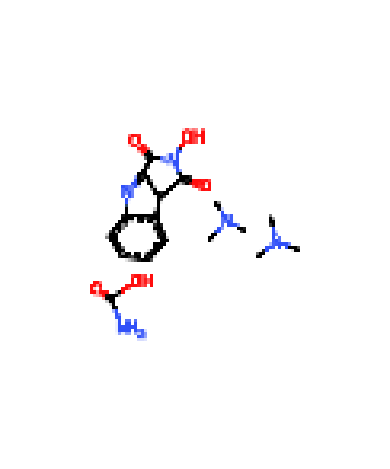 CN(C)C.CN(C)C.NC(=O)O.O=C1C2=Nc3ccccc3C2C(=O)N1O